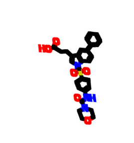 O=C(O)CCc1cn(S(=O)(=O)c2ccc(NC(=O)N3CCOCC3)cc2)c2ccc(-c3ccccc3)cc12